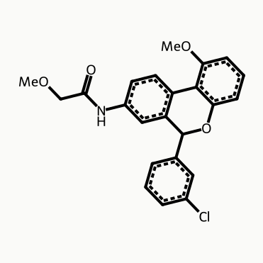 COCC(=O)Nc1ccc2c(c1)C(c1cccc(Cl)c1)Oc1cccc(OC)c1-2